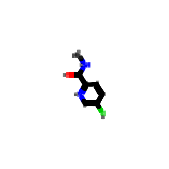 CCCNC(=O)c1ccc(Cl)cn1